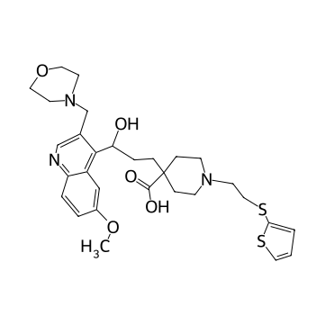 COc1ccc2ncc(CN3CCOCC3)c(C(O)CCC3(C(=O)O)CCN(CCSc4cccs4)CC3)c2c1